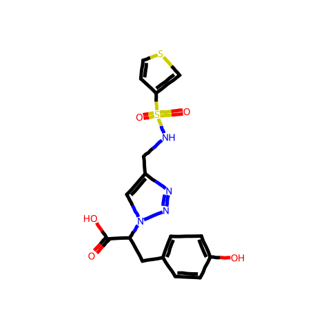 O=C(O)C(Cc1ccc(O)cc1)n1cc(CNS(=O)(=O)c2ccsc2)nn1